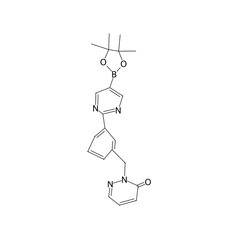 CC1(C)OB(c2cnc(-c3cccc(Cn4ncccc4=O)c3)nc2)OC1(C)C